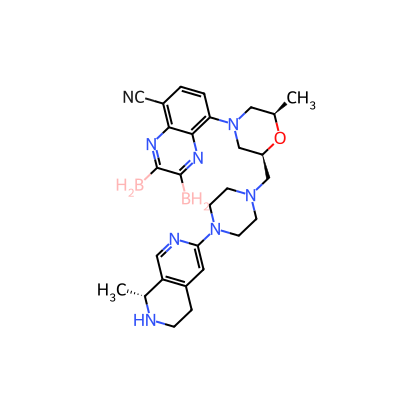 Bc1nc2c(C#N)ccc(N3C[C@H](CN4CCN(c5cc6c(cn5)[C@@H](C)NCC6)CC4)O[C@H](C)C3)c2nc1B